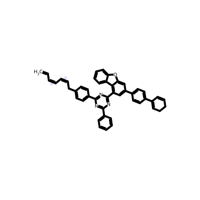 C=C/C=C\C=C/Cc1ccc(-c2nc(-c3ccccc3)nc(-c3cc(-c4ccc(C5=CCCC=C5)cc4)cc4oc5ccccc5c34)n2)cc1